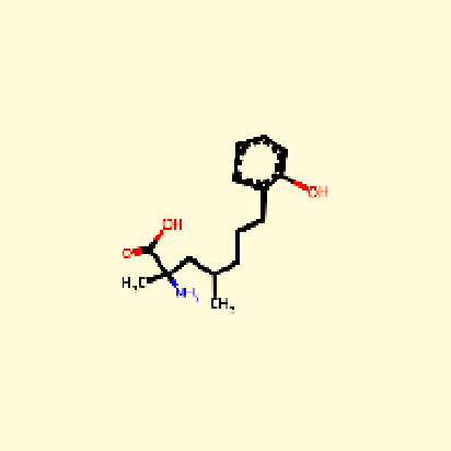 CC(CCCc1ccccc1O)CC(C)(N)C(=O)O